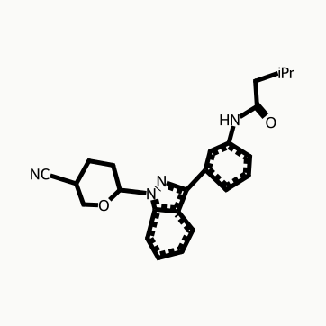 CC(C)CC(=O)Nc1cccc(-c2nn(C3CCC(C#N)CO3)c3ccccc23)c1